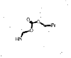 CC(C)COC(=O)OC[NH]